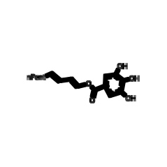 CCCCC/C=C/C=C/OC(=O)c1cc(O)c(O)c(O)c1